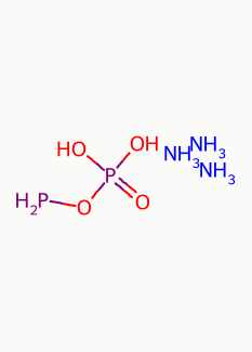 N.N.N.O=P(O)(O)OP